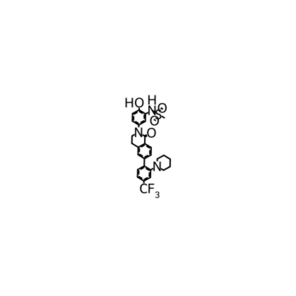 CS(=O)(=O)Nc1cc(N2CCc3cc(-c4ccc(C(F)(F)F)cc4N4CCCCC4)ccc3C2=O)ccc1O